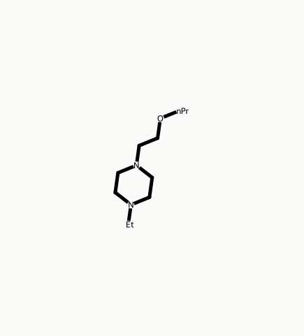 CCCOCCN1CCN(CC)CC1